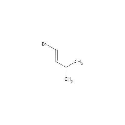 CC(C)/C=C/Br